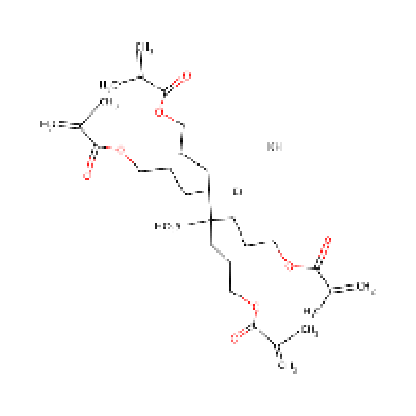 C=C(C)C(=O)OCCCC(CC)(CCCOC(=O)C(=C)C)C(CCCOC(=O)C(=C)C)(CCCOC(=O)C(=C)C)S(=O)(=O)O.[KH]